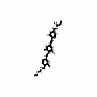 C=COCOCc1ccc(C#Cc2c(C)cc(C#Cc3ccc(COC(=O)C=C)cc3)cc2C)cc1F